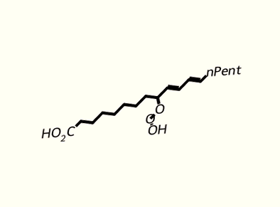 CCCCCC=CC=CC(CCCCCCCC(=O)O)OOO